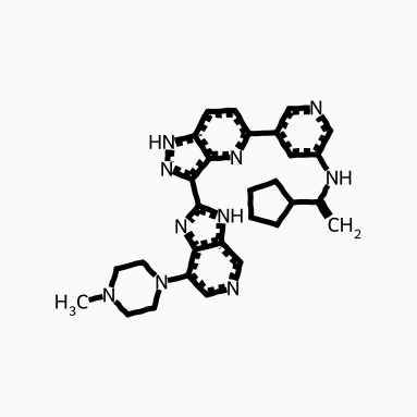 C=C(Nc1cncc(-c2ccc3[nH]nc(-c4nc5c(N6CCN(C)CC6)cncc5[nH]4)c3n2)c1)C1CCCC1